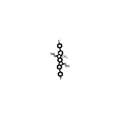 CC12C=CC(c3ccc(F)cc3)=CC1/C(=N\C#N)c1cc3c(cc12)/C(=N/C#N)c1cc(-c2ccc(F)cc2)ccc1-3